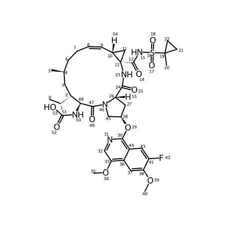 CC[C@@H]1C[C@@H](C)CCC=C[C@@H]2C[C@@]2(C(=O)NS(=O)(=O)C2(C)CC2)NC(=O)[C@@H]2C[C@@H](Oc3ncc(OC)c4cc(OC)c(F)cc34)CN2C(=O)[C@H]1NC(=O)O